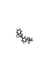 Oc1ccccc1CCc1cccc(OC(F)F)c1